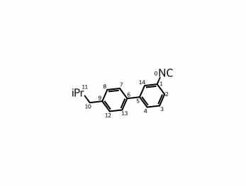 [C-]#[N+]c1cccc(-c2ccc(CC(C)C)cc2)c1